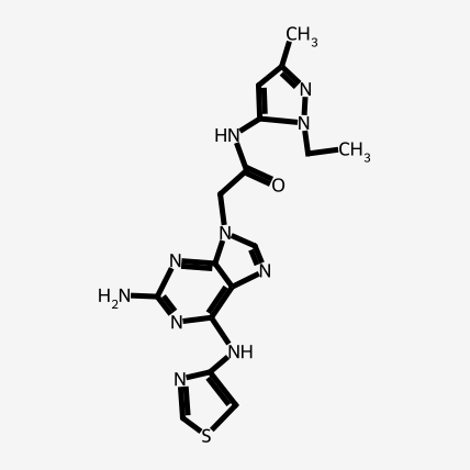 CCn1nc(C)cc1NC(=O)Cn1cnc2c(Nc3cscn3)nc(N)nc21